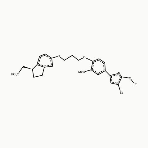 CCOc1nc(-c2ccc(OCCCOc3ccc4c(c3)CC[C@H]4CC(=O)O)c(OC)c2)sc1CC